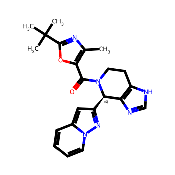 Cc1nc(C(C)(C)C)oc1C(=O)N1CCc2[nH]cnc2[C@H]1c1cc2ccccn2n1